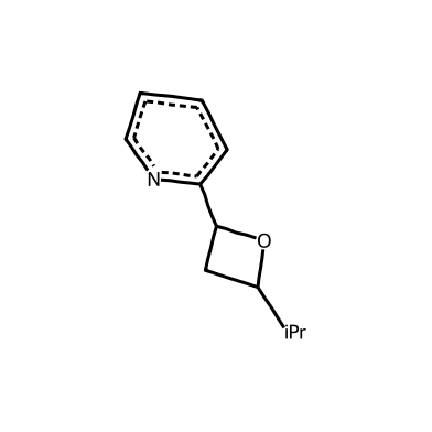 CC(C)C1CC(c2ccccn2)O1